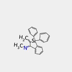 C=C1/C(=N\C)c2ccccc2[Si]1(c1ccccc1)c1ccccc1